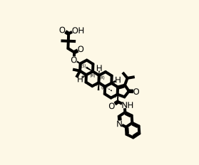 CC(C)C1=C2[C@H]3CC[C@@H]4[C@@]5(C)CC[C@H](OC(=O)CC(C)(C)C(=O)O)C(C)(C)[C@@H]5CC[C@@]4(C)[C@]3(C)CC[C@@]2(C(=O)Nc2cnc3ccccc3c2)CC1=O